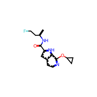 C=C(CCF)NC(=O)c1cc2ccnc(OC3CC3)c2[nH]1